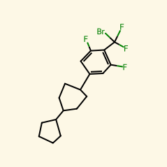 Fc1cc(C2CCC(C3CCCC3)CC2)cc(F)c1C(F)(F)Br